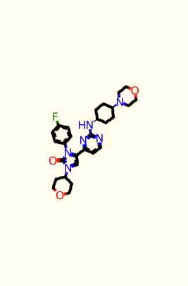 O=c1n(C2CCOCC2)cc(-c2ccnc(N[C@H]3CC[C@H](N4CCOCC4)CC3)n2)n1-c1ccc(F)cc1